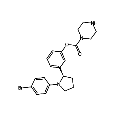 O=C(Oc1cccc([C@H]2CCCN2c2ccc(Br)cc2)c1)N1CCNCC1